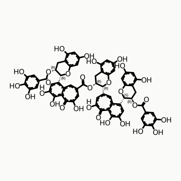 O=C(O[C@@H]1Cc2c(O)cc(O)cc2O[C@@H]1c1cc(O)c(=O)c2c(O)c(O)cc([C@@H]3Oc4cc(O)cc(O)c4C[C@H]3OC(=O)c3cc(O)c(O)c(O)c3)c2c1)c1cc(O)c(=O)c2c(O)c(O)cc([C@H]3Oc4cc(O)cc(O)c4C[C@H]3OC(=O)c3cc(O)c(O)c(O)c3)c2c1